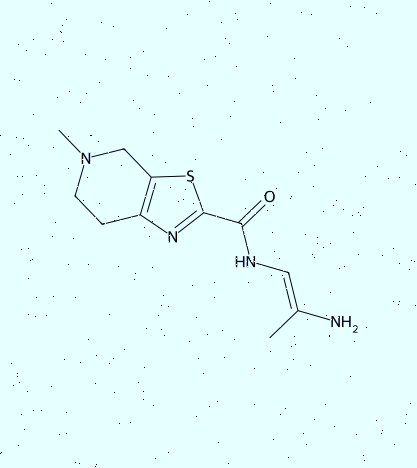 C/C(N)=C\NC(=O)c1nc2c(s1)CN(C)CC2